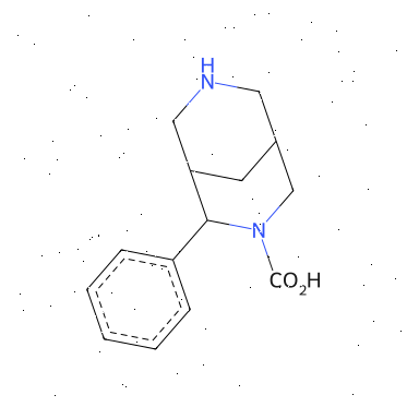 O=C(O)N1CC2CNCC(C2)C1c1ccccc1